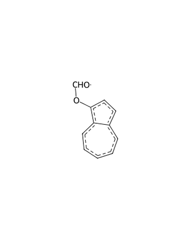 O=[C]Oc1ccc2cccccc1-2